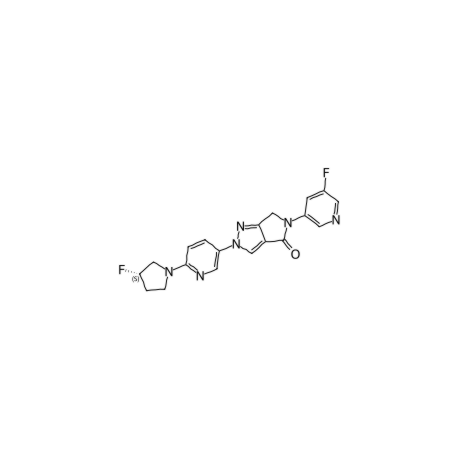 O=C1c2cn(-c3ccc(N4CC[C@H](F)C4)nc3)nc2CN1c1cncc(F)c1